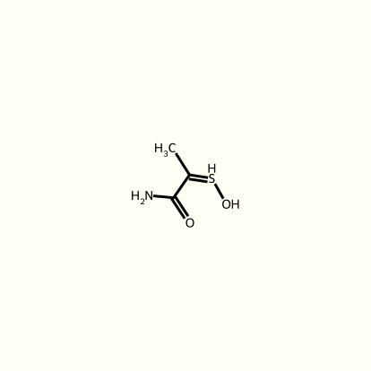 C/C(=[SH]/O)C(N)=O